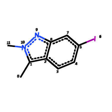 Cc1c2ccc(I)cc2nn1C